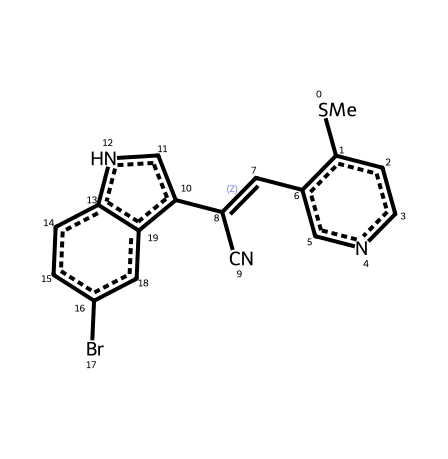 CSc1ccncc1/C=C(\C#N)c1c[nH]c2ccc(Br)cc12